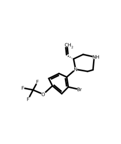 C=C[C@@H]1CNCCN1c1ccc(OC(F)(F)F)cc1Br